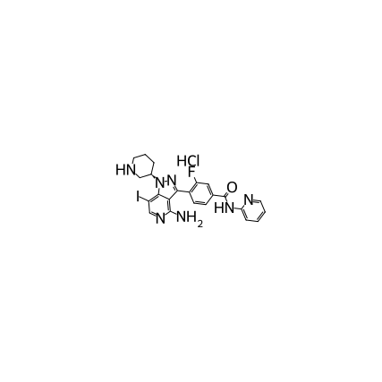 Cl.Nc1ncc(I)c2c1c(-c1ccc(C(=O)Nc3ccccn3)cc1F)nn2[C@@H]1CCCNC1